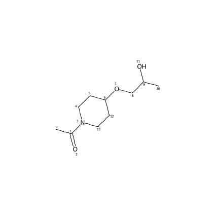 CC(=O)N1CCC(OCC(C)O)CC1